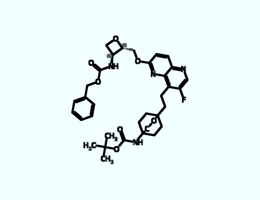 CC(C)(C)OC(=O)NC12CCC(CCc3c(F)cnc4ccc(OC[C@H]5OC[C@@H]5NC(=O)OCc5ccccc5)nc34)(CC1)OC2